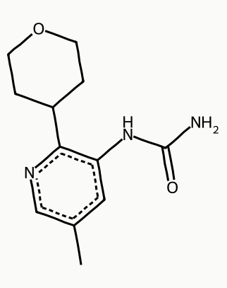 Cc1cnc(C2CCOCC2)c(NC(N)=O)c1